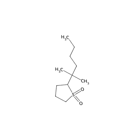 CCCCC(C)(C)C1CCCS1(=O)=O